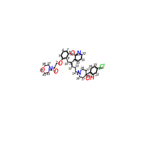 O=C(COc1cccc2c1C/C(=C/CCN1CCC(O)(c3ccc(Cl)cc3)CC1)c1cccnc1O2)N1CCOCC1